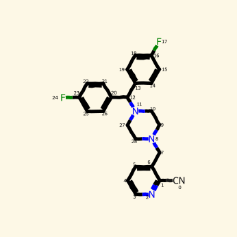 N#Cc1ncccc1CN1CCN(C(c2ccc(F)cc2)c2ccc(F)cc2)CC1